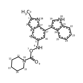 Cc1cn2nc(NOC(=O)N3CCCCC3)cc(-c3c[nH]c4ccccc34)c2n1